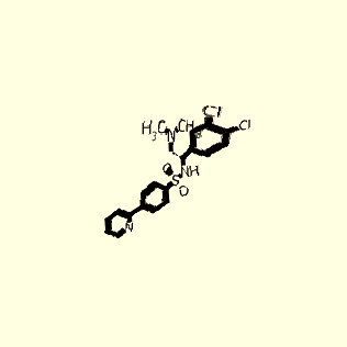 CN(C)C[C@@H](NS(=O)(=O)c1ccc(-c2ccccn2)cc1)c1ccc(Cl)c(Cl)c1